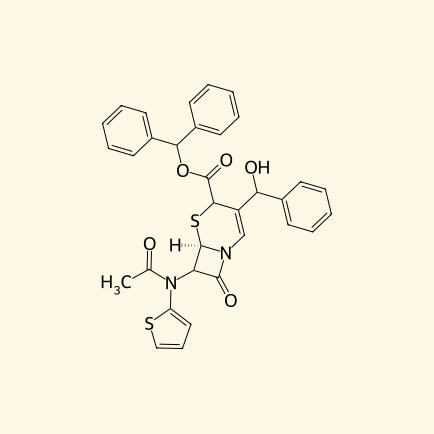 CC(=O)N(c1cccs1)C1C(=O)N2C=C(C(O)c3ccccc3)C(C(=O)OC(c3ccccc3)c3ccccc3)S[C@H]12